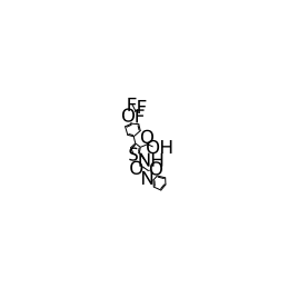 O=C(Nc1scc(-c2ccc(OC(F)(F)F)cc2)c1C(=O)O)c1nc2ccccc2o1